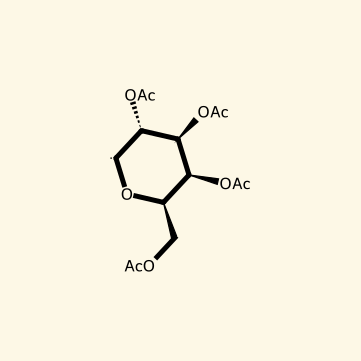 CC(=O)OC[C@H]1O[CH][C@H](OC(C)=O)[C@@H](OC(C)=O)[C@H]1OC(C)=O